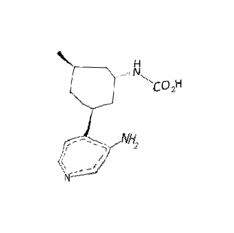 C[C@H]1C[C@H](NC(=O)O)C[C@@H](c2ccncc2N)C1